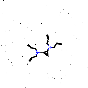 C=CCN(CC=C)C1=CC1N(CC=C)CC=C